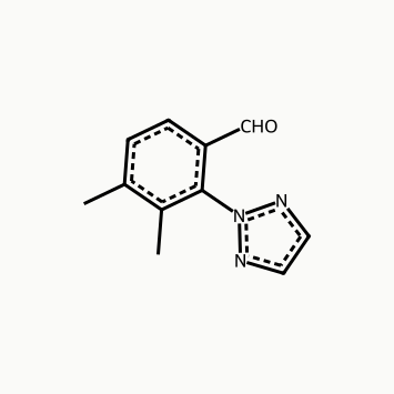 Cc1ccc(C=O)c(-n2nccn2)c1C